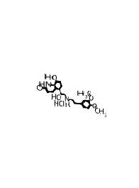 COc1ccc(CCNCC(O)c2ccc(O)c3[nH]c(=O)ccc23)cc1OC.Cl